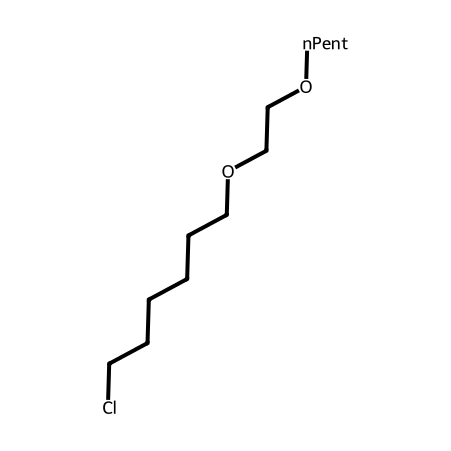 CCCCCOCCOCCCCCCCl